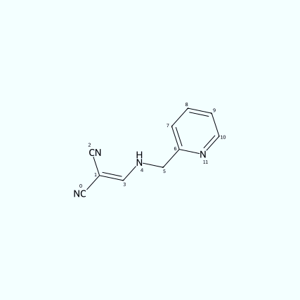 N#CC(C#N)=CNCc1ccccn1